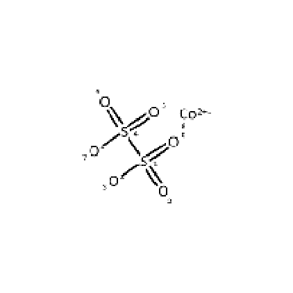 O=S(=O)([O-])S(=O)(=O)[O-].[Co+2]